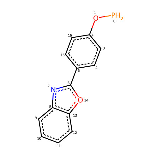 POc1ccc(-c2nc3ccccc3o2)cc1